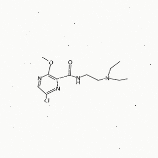 CCN(CC)CCNC(=O)c1nc(Cl)cnc1OC